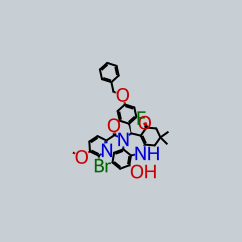 COc1ccc(C(=O)N2c3cccc(O)c3NC3=C(C(=O)CC(C)(C)C3)[C@@H]2c2ccc(OCc3ccccc3)cc2F)nc1Br